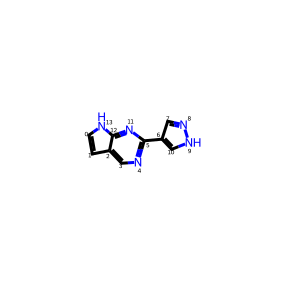 c1cc2cnc(-c3cn[nH]c3)nc2[nH]1